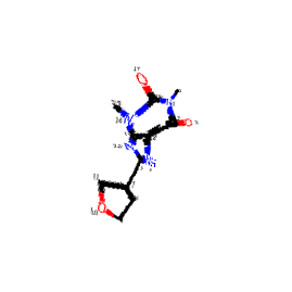 Cn1c(=O)c2[nH]c(C3CCOC3)nc2n(C)c1=O